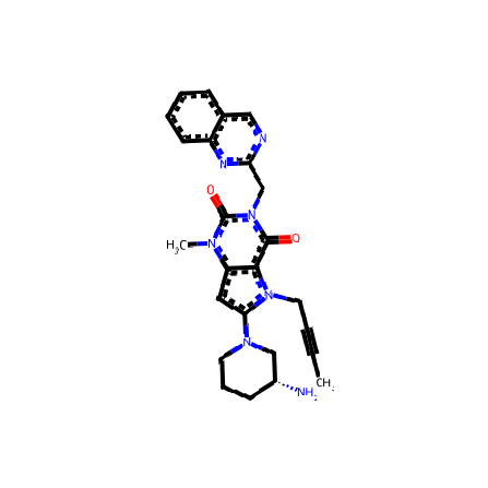 CC#CCn1c(N2CCC[C@@H](N)C2)cc2c1c(=O)n(Cc1ncc3ccccc3n1)c(=O)n2C